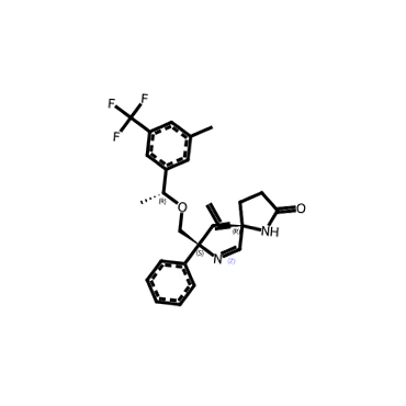 C=C[C@](CO[C@H](C)c1cc(C)cc(C(F)(F)F)c1)(/N=C\[C@]1(C=C)CCC(=O)N1)c1ccccc1